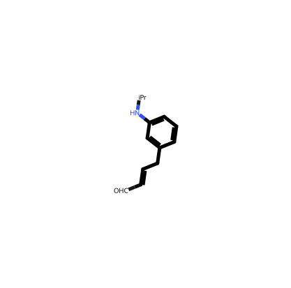 CC(C)Nc1cccc(CC=CC=O)c1